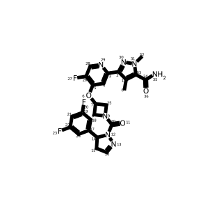 Cc1c(-c2cc(OC3CN(C(=O)N4N=CCC4c4cc(F)cc(F)c4)C3)c(F)cn2)nn(C)c1C(N)=O